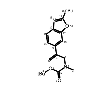 C=C(CN(C)C(=O)OC(C)(C)C)c1ccc2nc(CCCC)oc2c1